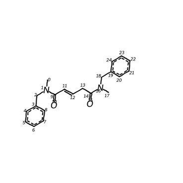 CN(Cc1ccccc1)C(=O)C=CCC(=O)N(C)Cc1ccccc1